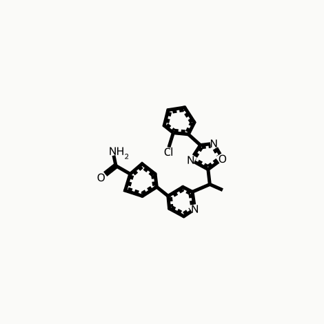 CC(c1cc(-c2ccc(C(N)=O)cc2)ccn1)c1nc(-c2ccccc2Cl)no1